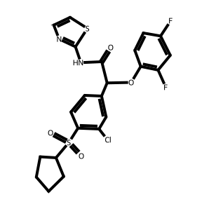 O=C(Nc1n[c]cs1)C(Oc1ccc(F)cc1F)c1ccc(S(=O)(=O)C2CCCC2)c(Cl)c1